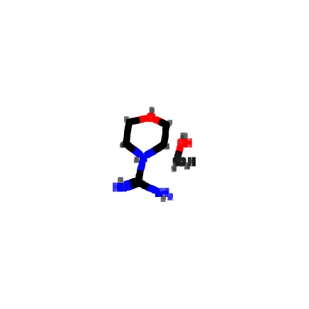 N=C(N)N1CCOCC1.O=S(=O)(O)O